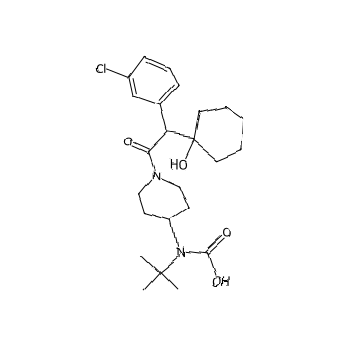 CC(C)(C)N(C(=O)O)C1CCN(C(=O)C(c2cccc(Cl)c2)C2(O)CCCCC2)CC1